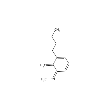 C=C1C(CCCC)=CC=C/C1=N/C